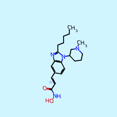 CCCCCc1nc2cc(/C=C/C(=O)NO)ccc2n1C1CCCN(C)C1